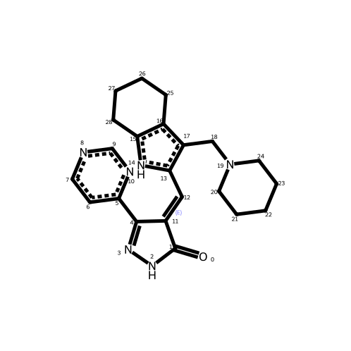 O=C1NN=C(c2ccncn2)/C1=C\c1[nH]c2c(c1CN1CCCCC1)CCCC2